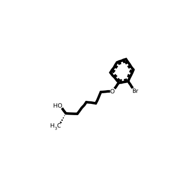 C[C@H](O)CCCCOc1ccccc1Br